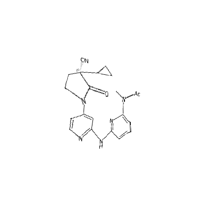 CC(=O)N(C)c1cccc(Nc2cc(N3CC[C@@](C#N)(C4CC4)C3=O)ccn2)n1